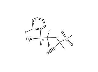 CC(C#N)(CC(F)(F)[C@](C)(N)c1ccccc1F)S(C)(=O)=O